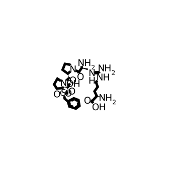 C[C@H](N)C(=O)N1CCC[C@H]1C(=O)N1CCC[C@]1(C(=O)O)S(=O)(=O)Cc1ccccc1.N=C(N)NCCC[C@H](N)C(=O)O